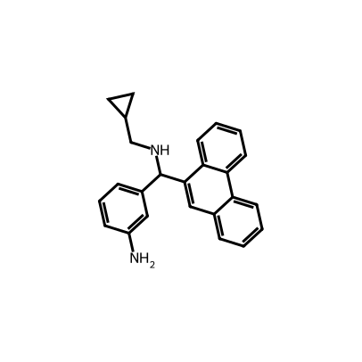 Nc1cccc(C(NCC2CC2)c2cc3ccccc3c3ccccc23)c1